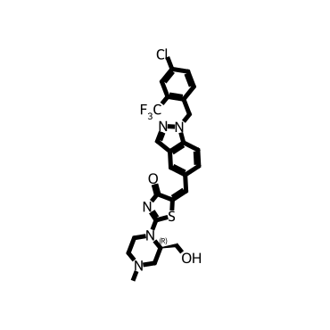 CN1CCN(C2=NC(=O)C(=Cc3ccc4c(cnn4Cc4ccc(Cl)cc4C(F)(F)F)c3)S2)[C@@H](CO)C1